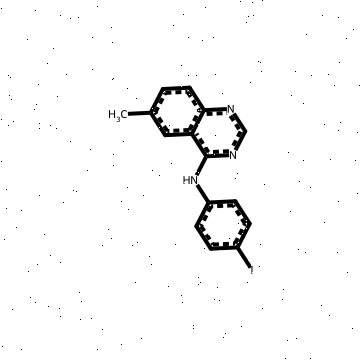 Cc1ccc2ncnc(Nc3ccc(I)cc3)c2c1